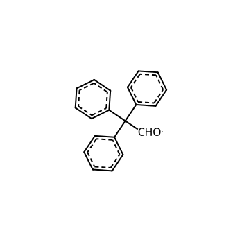 O=[C]C(c1ccccc1)(c1ccccc1)c1ccccc1